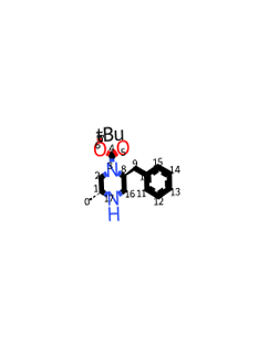 C[C@@H]1CN(C(=O)OC(C)(C)C)[C@@H](Cc2ccccc2)CN1